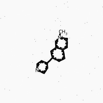 C[n+]1ccc2ccc(-c3ccncc3)cc2c1